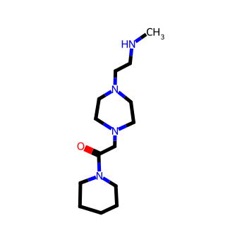 CNCCN1CCN(CC(=O)N2CC[CH]CC2)CC1